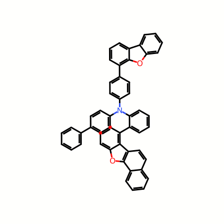 c1ccc(-c2ccc(N(c3ccc(-c4cccc5c4oc4ccccc45)cc3)c3ccccc3-c3cccc4oc5c6ccccc6ccc5c34)cc2)cc1